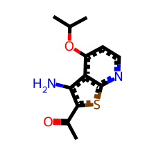 CC(=O)c1sc2nccc(OC(C)C)c2c1N